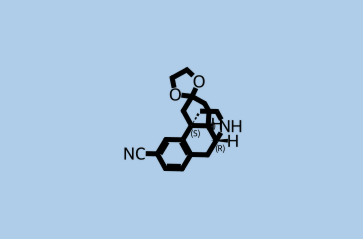 N#Cc1ccc2c(c1)[C@]13CCN[C@H](C2)[C@@H]1CCC1(C3)OCCO1